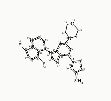 Cc1ncc(-c2cc(N3CCOCC3)cc3c2ncn3-c2ccnc3c(F)ccc(F)c23)[nH]1